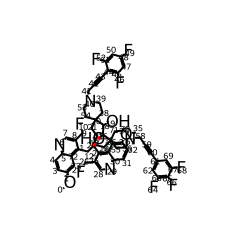 COc1ccc2ncc(CF)c(CCCC3(C(O)C(O)C4(CCCc5c(CF)cnc6ccc(OC)cc56)CCN(CC#Cc5c(F)cc(F)cc5F)CC4)CCN(CC#Cc4cc(F)c(F)c(F)c4)CC3)c2c1